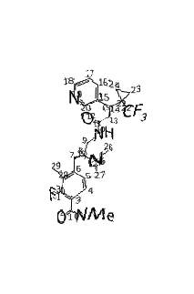 CNC(=O)c1ccc(C[C@@H](CNC(=O)C[C@@H](c2cccnc2)C2(C(F)(F)F)CC2)N(C)C)c(C)c1F